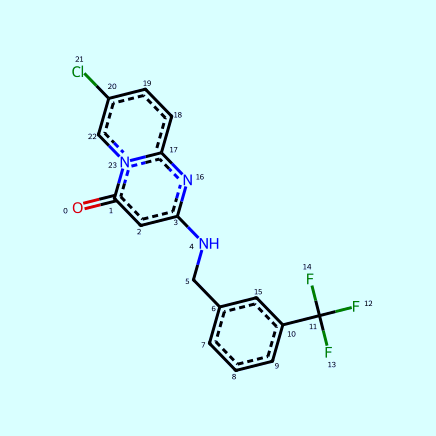 O=c1cc(NCc2cccc(C(F)(F)F)c2)nc2ccc(Cl)cn12